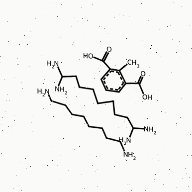 Cc1c(C(=O)O)cccc1C(=O)O.NC(N)CCCCCCCC(N)N.NCCCCCCCCN